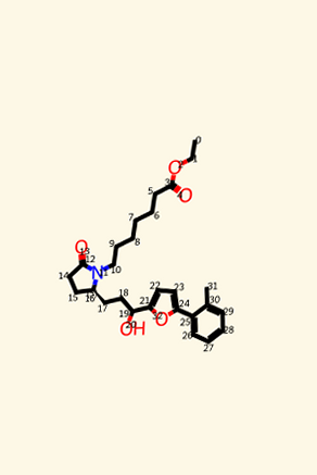 CCOC(=O)CCCCCCN1C(=O)CC[C@@H]1CCC(O)c1ccc(-c2ccccc2C)o1